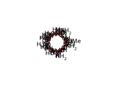 CCCC[C@H]1C(=O)N(C)[C@@H](CCCC)C(=O)N[C@@H](CCCN)C(=O)N[C@H](C(=O)NCC(N)=O)CSCC(=O)N[C@@H](Cc2ccc(OC)cc2)C(=O)N(C)[C@@H](C)C(=O)N[C@@H](CC(N)=O)C(=O)N2CCC[C@H]2C(=O)N[C@@H](CN)C(=O)N[C@@H](CCCCN)C(=O)N2C[C@H](O)C[C@H]2C(=O)N[C@@H](Cc2c[nH]c3ccccc23)C(=O)NC(CCN)C(=O)N[C@@H](Cc2c[nH]c3ccccc23)C(=O)N1C